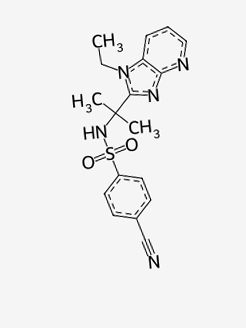 CCn1c(C(C)(C)NS(=O)(=O)c2ccc(C#N)cc2)nc2ncccc21